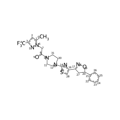 Cc1cc(C(F)(F)F)nn1CC(=O)N1CCN(c2nc(C3=NOC(c4ccccc4)C3)cs2)CC1